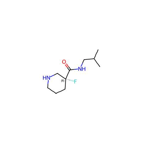 CC(C)CNC(=O)[C@@]1(F)CCCNC1